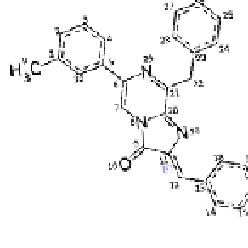 Cc1cccc(C2=CN3C(=O)/C(=C/c4ccccc4)N=C3C(Cc3ccccc3)=N2)c1